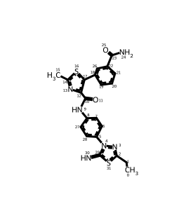 CCc1nn(-c2ccc(NC(=O)c3nc(C)sc3-c3cccc(C(N)=O)c3)cc2)c(=N)s1